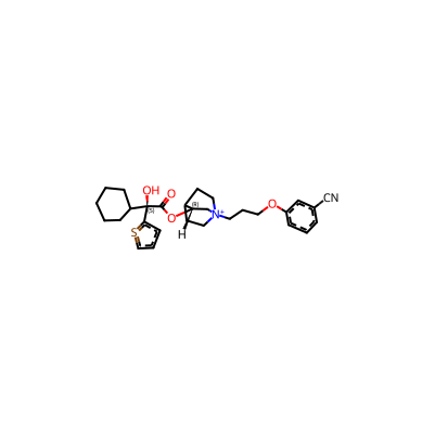 N#Cc1cccc(OCCC[N+]23CCC(CC2)[C@@H](OC(=O)[C@](O)(c2cccs2)C2CCCCC2)C3)c1